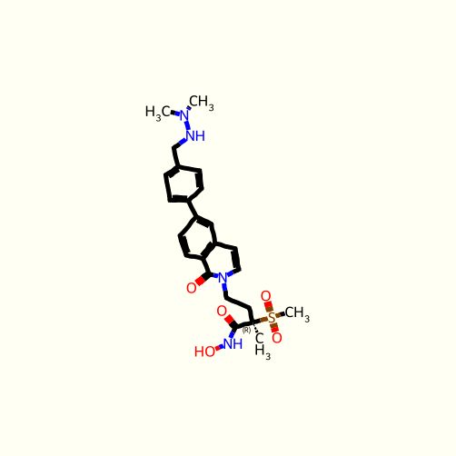 CN(C)NCc1ccc(-c2ccc3c(=O)n(CC[C@](C)(C(=O)NO)S(C)(=O)=O)ccc3c2)cc1